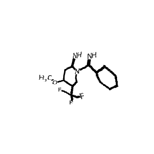 COC1CC(=N)N(C(=N)C2CCCCC2)CC1C(F)(F)F